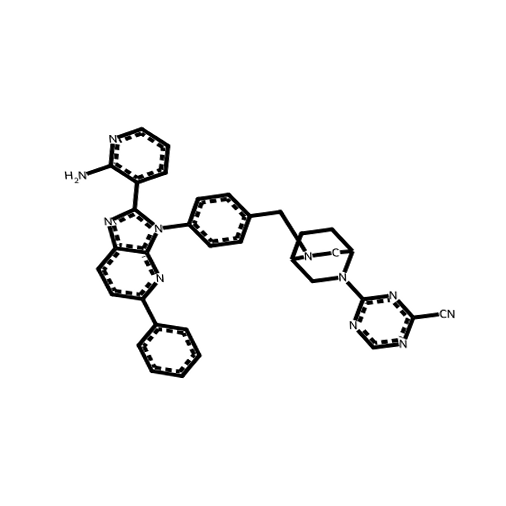 N#Cc1ncnc(N2CC3CCC2CN3Cc2ccc(-n3c(-c4cccnc4N)nc4ccc(-c5ccccc5)nc43)cc2)n1